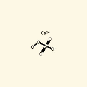 O=S(=O)([O-])O[O-].[Ca+2]